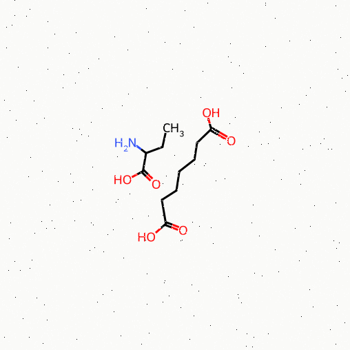 CCC(N)C(=O)O.O=C(O)CCCCCC(=O)O